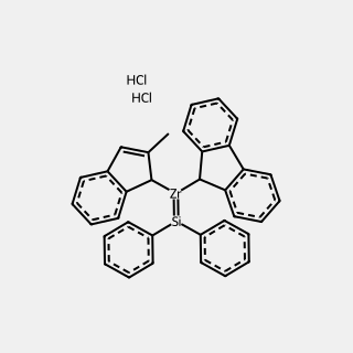 CC1=Cc2ccccc2[CH]1[Zr]([CH]1c2ccccc2-c2ccccc21)=[Si](c1ccccc1)c1ccccc1.Cl.Cl